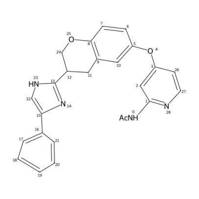 CC(=O)Nc1cc(Oc2ccc3c(c2)CC(c2nc(-c4ccccc4)c[nH]2)CO3)ccn1